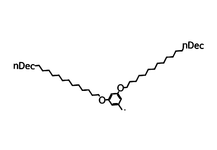 [CH2]c1cc(OCCCCCCCCCCCCCCCCCCCCCCC)cc(OCCCCCCCCCCCCCCCCCCCCCCC)c1